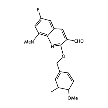 CNc1cc(F)cc2cc(C=O)c(OCC3=CC(C)C(OC)C=C3)nc12